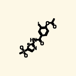 CC(=O)Oc1ccc(C(=O)Nc2ncc(S(C)(=O)=O)s2)cc1I